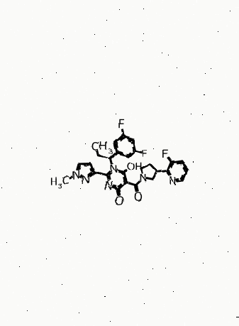 CC[C@@H](c1cc(F)cc(F)c1)n1c(-c2ccn(C)n2)nc(=O)c(C(=O)N2CCC(c3ncccc3F)C2)c1O